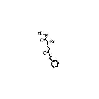 CC(C)(C)OC(=O)[C@@H](Br)CCC(=O)OCc1ccccc1